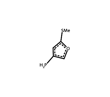 CSc1cc(P)co1